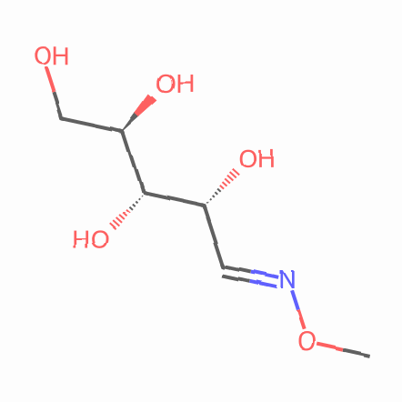 CON=C[C@@H](O)[C@H](O)[C@H](O)CO